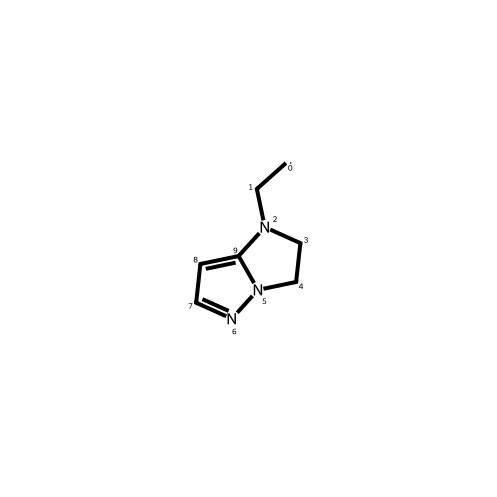 [CH2]CN1CCn2nccc21